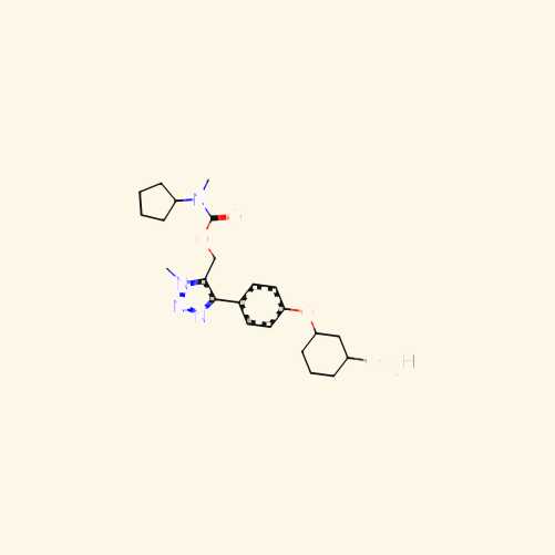 CN(C(=O)OCc1c(-c2ccc(OC3CCCC(C(=O)O)C3)cc2)nnn1C)C1CCCC1